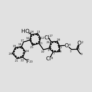 CC(=O)COc1cc(Cl)c(Cc2ccc(O)c(Cc3cccc(F)c3)c2)c(Cl)c1